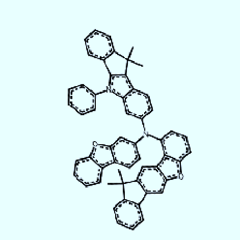 CC1(C)c2ccccc2-c2cc3oc4cccc(N(c5ccc6c(c5)oc5ccccc56)c5ccc6c7c(n(-c8ccccc8)c6c5)-c5ccccc5C7(C)C)c4c3cc21